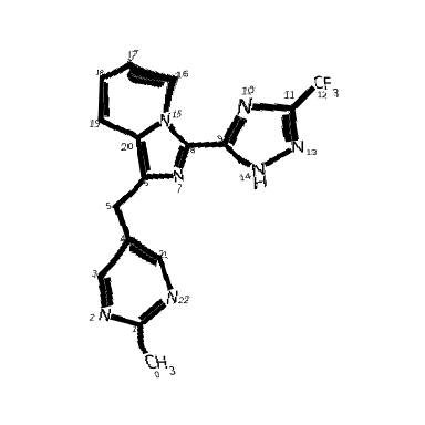 Cc1ncc(Cc2nc(-c3nc(C(F)(F)F)n[nH]3)n3ccccc23)cn1